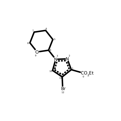 CCOC(=O)c1nn(C2CCCCO2)cc1Br